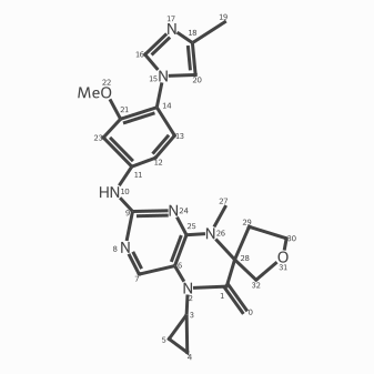 C=C1N(C2CC2)c2cnc(Nc3ccc(-n4cnc(C)c4)c(OC)c3)nc2N(C)C12CCOC2